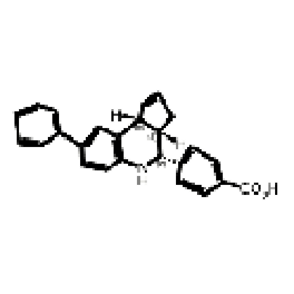 O=C(O)c1ccc([C@@H]2Nc3ccc(-c4ccccc4)cc3[C@@H]3C=CC[C@@H]32)cc1